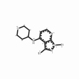 CCc1nn(CC)c2nccc(NC3CCOCC3)c12